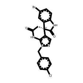 O=C1C[C@]2(C(=O)Nc3ccc(Br)cc32)c2cnn(Cc3ccc(Cl)cc3)c2N1